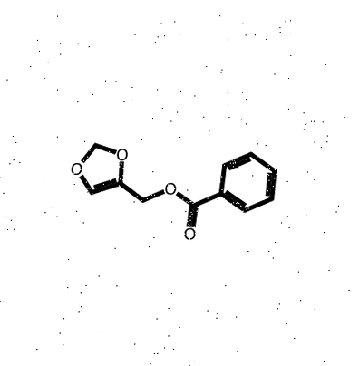 O=C(OCC1=COCO1)c1ccccc1